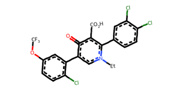 CCn1cc(-c2cc(OC(F)(F)F)ccc2Cl)c(=O)c(C(=O)O)c1-c1ccc(Cl)c(Cl)c1